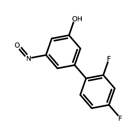 O=Nc1cc(O)cc(-c2ccc(F)cc2F)c1